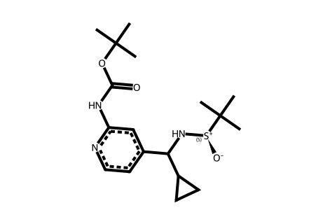 CC(C)(C)OC(=O)Nc1cc(C(N[S@+]([O-])C(C)(C)C)C2CC2)ccn1